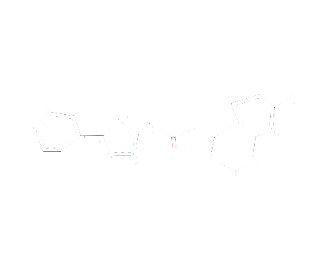 O=C(C[C@H]1CCOc2nc(Cl)ccc21)Nc1nnc(-c2ccncc2)[nH]1